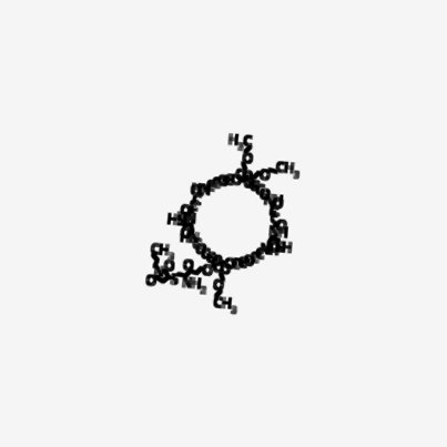 CCCCN1C(=O)CC(SCC(N)C(=O)CCOCOC2(OCCOCCC)OCCOCCNC(=O)C(CS)NC(=O)CCC(=O)NOCCOC(OCCOCCC)(OCCOCCC)OCOCCNC(=O)CCC(=O)NC(CS)C(=O)NCOCCO2)C1=O